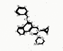 O=C([C@H]1CNCCO1)N(Cc1cc(OCc2ccccc2)c2ccccc2c1)C1CC1